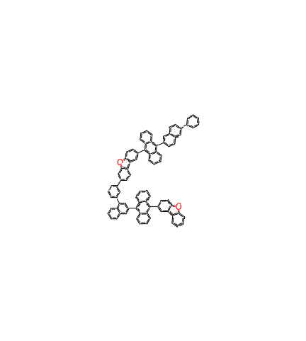 c1ccc(-c2ccc3cc(-c4c5ccccc5c(-c5ccc6oc7cc(-c8cccc(-c9cc(-c%10c%11ccccc%11c(-c%11ccc%12oc%13ccccc%13c%12c%11)c%11ccccc%10%11)cc%10ccccc9%10)c8)ccc7c6c5)c5ccccc45)ccc3c2)cc1